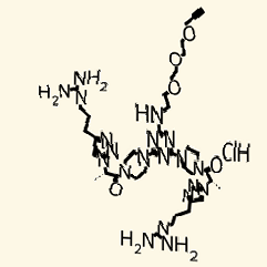 C#CCOCCOCCOCCNc1nc(N2CCN(C(=O)[C@H](C)n3cc(CCCN=C(N)N)nn3)CC2)nc(N2CCN(C(=O)[C@H](C)n3cc(CCCN=C(N)N)nn3)CC2)n1.Cl